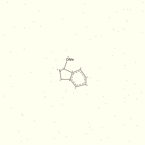 COC1SCc2ccccc21